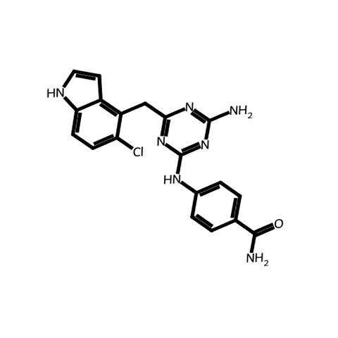 NC(=O)c1ccc(Nc2nc(N)nc(Cc3c(Cl)ccc4[nH]ccc34)n2)cc1